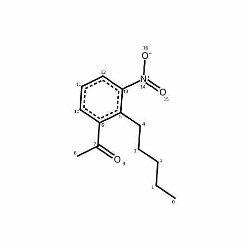 CCCCCc1c(C(C)=O)cccc1[N+](=O)[O-]